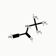 C#CC(=O)NC(C)(C)C